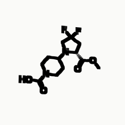 COC(=O)[C@H]1CC(F)(F)CN1C1CCN(C(=O)O)CC1